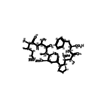 CC[C@H](C)[C@@H]([C@@H](CC(=O)N1CCC[C@H]1[C@H](OC)[C@@H](C)C(=O)N[C@@H](Cc1ccccc1)C(=O)O)OC)N(C)C(=O)[C@@H](NC(=O)[C@H](C(C)C)N(C)CCSC)C(C)C